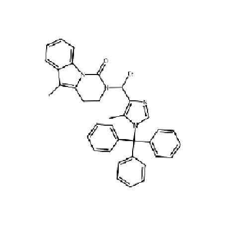 CCC(c1ncn(C(c2ccccc2)(c2ccccc2)c2ccccc2)c1C)N1CCc2c(C)c3ccccc3n2C1=O